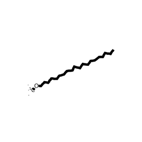 CCCCCCCCCCCCCCCCCCCCO[1C]